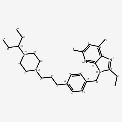 CCc1nc2c(C)cc(C)nc2n1Cc1ccc(CCCN2CCN(C(CC)CC)CC2)cc1